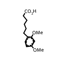 COc1ccc(CCCCCC(=O)O)c(OC)c1